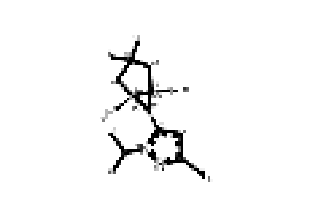 CC(C)n1nc(I)cc1[C@H]1[C@@H]2CC(C)(C)C[C@@H]21